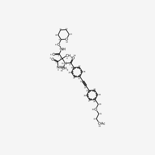 CNC(=O)C(C)(C(=O)NOC1CCCCO1)N(C)C(=O)c1ccc(C#Cc2ccc(COCCOC(C)=O)cc2)cc1